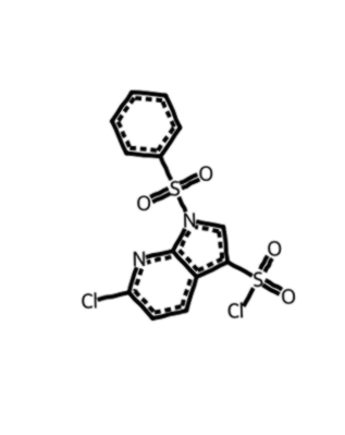 O=S(=O)(Cl)c1cn(S(=O)(=O)c2ccccc2)c2nc(Cl)ccc12